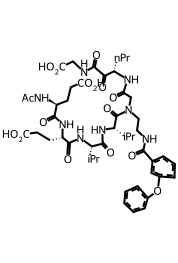 CCC[C@H](NC(=O)CN(CCNC(=O)c1cccc(Oc2ccccc2)c1)C(=O)[C@@H](NC(=O)[C@@H](NC(=O)[C@H](CCC(=O)O)NC(=O)[C@H](CCC(=O)O)NC(C)=O)C(C)C)C(C)C)C(=O)C(=O)NCC(=O)O